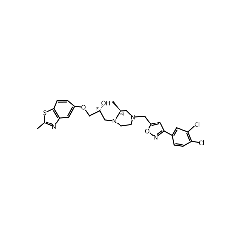 Cc1nc2cc(OC[C@H](O)CN3CCN(Cc4cc(-c5ccc(Cl)c(Cl)c5)no4)C[C@@H]3C)ccc2s1